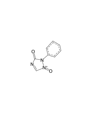 O=C1N=C[N+](=O)N1c1ccccc1